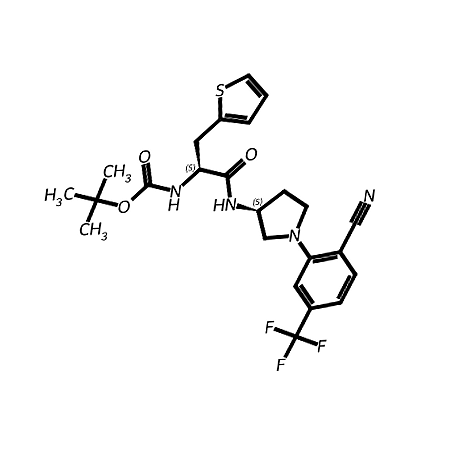 CC(C)(C)OC(=O)N[C@@H](Cc1cccs1)C(=O)N[C@H]1CCN(c2cc(C(F)(F)F)ccc2C#N)C1